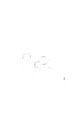 COc1ccc(-c2c(C)nn3c(NCC4CCNCC4)nc(C)nc23)cc1OC